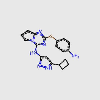 Nc1ccc(Sc2nc(Nc3cc(C4CCC4)[nH]n3)n3cccc3n2)cc1